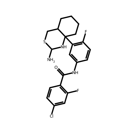 NC1NC2(c3cc(NC(=O)c4ccc(Cl)cc4F)ccc3F)CCCCC2CS1